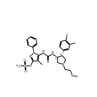 COCCN1C[C@@H](NC(=O)Nc2c(C)c(OS(=O)(=O)C(F)(F)F)nn2-c2ccccc2)[C@H](c2ccc(F)c(F)c2)C1